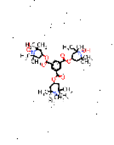 CN1C(C)(C)CC(OC(=O)c2cc(C(=O)OC3CC(C)(C)N(O)C(C)(C)C3)cc(C(=O)OC3CC(C)(C)N(O)C(C)(C)C3)c2)CC1(C)C